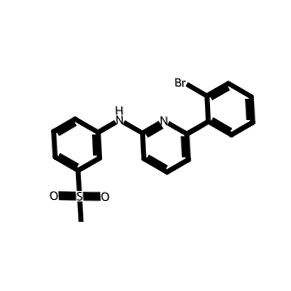 CS(=O)(=O)c1cccc(Nc2cccc(-c3ccccc3Br)n2)c1